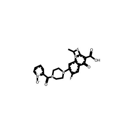 CC1Sc2c(C(=O)O)c(=O)c3cc(F)c(N4CCN(C(=O)c5cccc[n+]5[O-])CC4)cc3n21